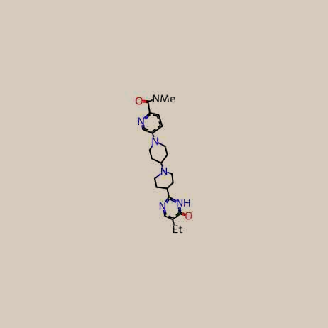 CCc1cnc(C2CCN(C3CCN(c4ccc(C(=O)NC)nc4)CC3)CC2)[nH]c1=O